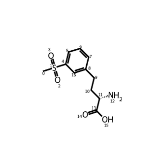 CS(=O)(=O)c1cccc(CC[C@H](N)C(=O)O)c1